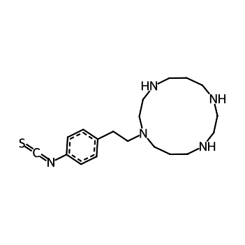 S=C=Nc1ccc(CCN2CCCNCCNCCCNCC2)cc1